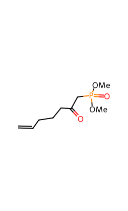 C=CCCCC(=O)CP(=O)(OC)OC